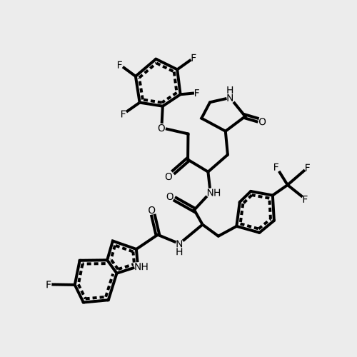 O=C(NC(Cc1ccc(C(F)(F)F)cc1)C(=O)NC(CC1CCNC1=O)C(=O)COc1c(F)c(F)cc(F)c1F)c1cc2cc(F)ccc2[nH]1